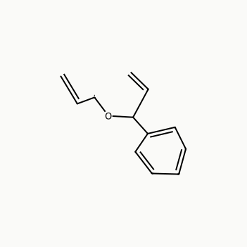 C=C[CH]OC(C=C)c1ccccc1